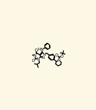 CC(C)Cn1c(=O)n(C)c(=O)c2c(Nc3ccccc3)n(Cc3ccc(C4CCCCN4C(=O)OC(C)(C)C)cc3)nc21